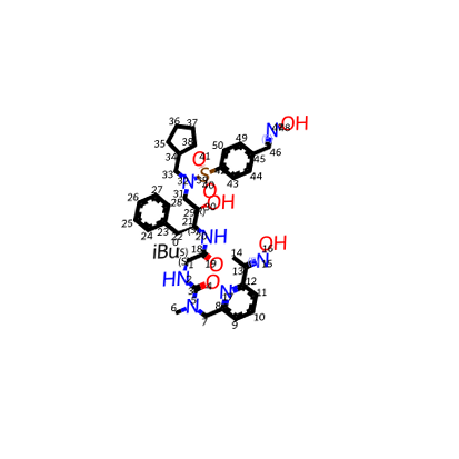 CC[C@H](C)[C@H](NC(=O)N(C)Cc1cccc(/C(C)=N/O)n1)C(=O)N[C@@H](Cc1ccccc1)[C@H](O)CN(CC1CCCC1)S(=O)(=O)c1ccc(/C=N/O)cc1